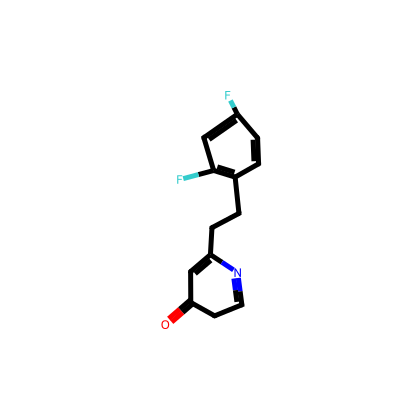 O=C1C=C(CCc2ccc(F)cc2F)N=CC1